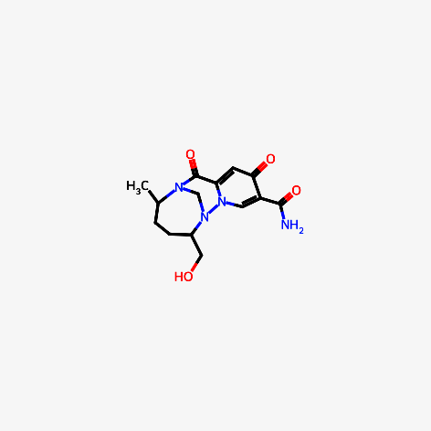 CC1CCC(CO)N2CN1C(=O)c1cc(=O)c(C(N)=O)cn12